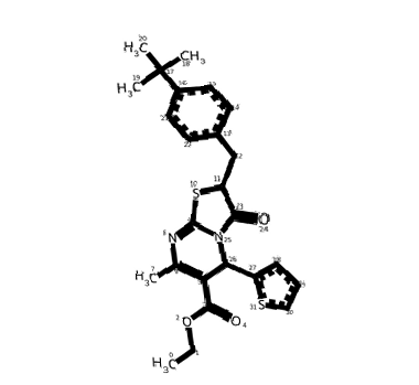 CCOC(=O)C1=C(C)N=C2SC(Cc3ccc(C(C)(C)C)cc3)C(=O)N2C1c1cccs1